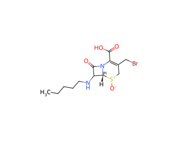 CCCCCNC1C(=O)N2C(C(=O)O)=C(CBr)C[S+]([O-])[C@H]12